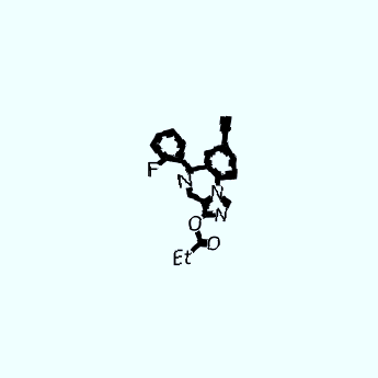 C#Cc1ccc2c(c1)C(c1ccccc1F)=NCc1c(OC(=O)CC)ncn1-2